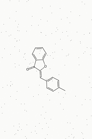 Cc1ccc(/C=C2\Oc3ccccc3C2=O)cc1